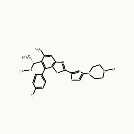 Cc1cc2nc(-c3nc(N4CCN(C(C)C)CC4)cs3)sc2c(-c2ccc(Cl)cc2)c1[C@H](OC(C)(C)C)C(=O)O